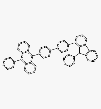 c1ccc(-c2c3ccccc3c(-c3ccc(-c4ccc(-c5cccc6c5C(c5ccccc5)c5ccccc5-6)cc4)cc3)c3ccccc23)cc1